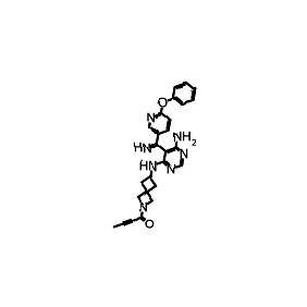 CC#CC(=O)N1CC2(CC(Nc3ncnc(N)c3C(=N)c3ccc(Oc4ccccc4)nc3)C2)C1